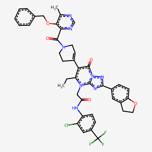 CCc1c(C2=CCN(C(=O)c3ncnc(C)c3OCc3ccccc3)CC2)c(=O)n2nc(-c3ccc4c(c3)CCO4)nc2n1CC(=O)Nc1ccc(C(F)(F)F)cc1Cl